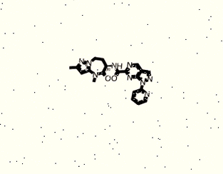 Cc1cc2n(n1)CC[C@@H](NC(=O)c1ncc3cnn(-c4ccccn4)c3n1)C(=O)N2C